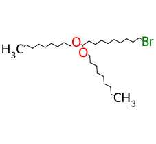 CCCCCCCCCOC(CCCCCCCCCBr)OCCCCCCCCC